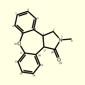 CN1CC2c3ccccc3Oc3ccccc3C2C1=O